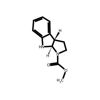 COC(=O)N1CC[C@H]2c3ccccc3N[C@@H]21